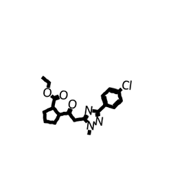 CCOC(=O)C1CCCC1C(=O)Cc1nc(-c2ccc(Cl)cc2)nn1C